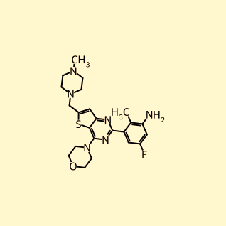 Cc1c(N)cc(F)cc1-c1nc(N2CCOCC2)c2sc(CN3CCN(C)CC3)cc2n1